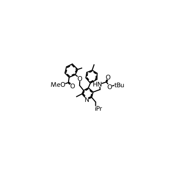 COC(=O)c1cccc(C)c1OCc1c(C)nc(CC(C)C)c(CNC(=O)OC(C)(C)C)c1-c1ccc(C)cc1